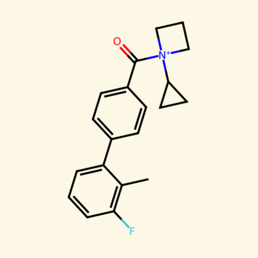 Cc1c(F)cccc1-c1ccc(C(=O)[N+]2(C3CC3)CCC2)cc1